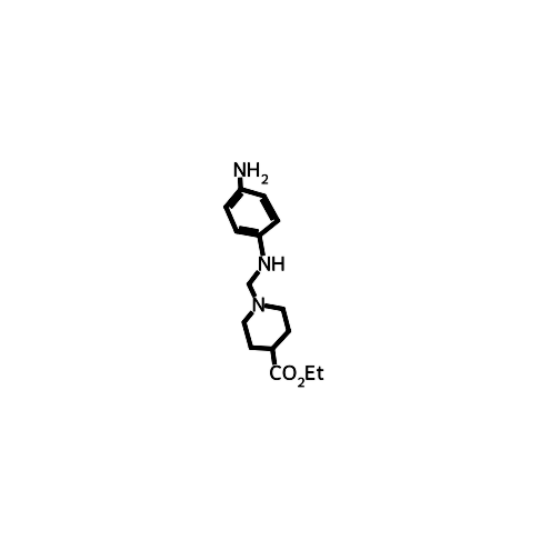 CCOC(=O)C1CCN(CNc2ccc(N)cc2)CC1